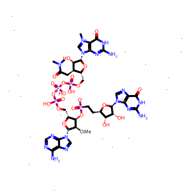 CO[C@@H]1[C@H](OP(=O)([O-])CC[C@H]2O[C@@H](n3cnc4c(=O)[nH]c(N)nc43)[C@H](O)[C@@H]2O)[C@@H](COP(=O)(O)OP(=O)(O)OP(=O)(O)OC[C@H]2O[C@@H](n3c[n+](C)c4c(=O)[nH]c(N)nc43)[C@H](O)[C@@H]2CC(=O)N(C)C)O[C@H]1n1cnc2c(N)ncnc21